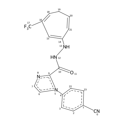 N#Cc1ccc(-n2ccnc2C(=O)NNC2=CC(C(F)(F)F)=CCC=C2)cc1